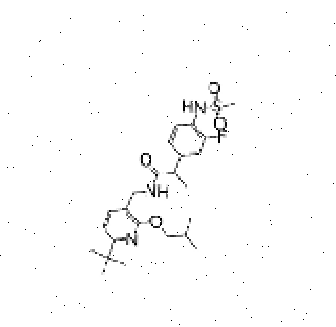 CC(C)COc1nc(C(C)(C)C)ccc1CNC(=O)C(C)c1ccc(NS(C)(=O)=O)c(F)c1